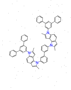 Cc1cc2c(ccc3cc(C)n(-c4cccc(-c5cccc(-n6c(C)cc7ccc8c(cc(C)n8-c8cc(-c9ccccc9)cc(-c9ccccc9)c8)c76)c5)c4)c32)n1-c1cc(-c2ccccc2)cc(-c2ccccc2)c1